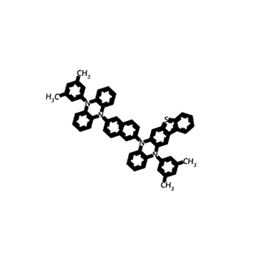 Cc1cc(C)cc(N2c3ccccc3N(c3ccc4cc(N5c6ccccc6N(c6cc(C)cc(C)c6)c6cc7c(cc65)sc5ccccc57)ccc4c3)c3ccccc32)c1